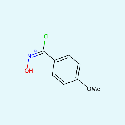 COc1ccc(/C(Cl)=N\O)cc1